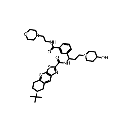 CC(C)(C)[C@H]1CCc2nc3sc(C(=O)NC(CCN4CCC(O)CC4)c4cccc(C(=O)NCCN5CCOCC5)c4)nc3cc2C1